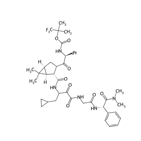 CC(C)[C@H](NC(=O)OC(C)(C)C(F)(F)F)C(=O)C1C[C@H]2[C@@H]([C@H]1C(=O)NC(CC1CC1)C(=O)C(=O)NCC(=O)N[C@H](C(=O)N(C)C)c1ccccc1)C2(C)C